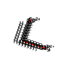 CC(=O)[O-].CC(=O)[O-].CC(=O)[O-].CC(=O)[O-].CC(=O)[O-].CC(=O)[O-].CC(=O)[O-].CC(=O)[O-].CC(=O)[O-].CC(=O)[O-].CC(=O)[O-].CC(=O)[O-].CC(=O)[O-].CC(=O)[O-].[Al+3].[Co+2].[Cu+2].[Hg+2].[NH4+].[Ni+2].[O]=[U+2]=[O]